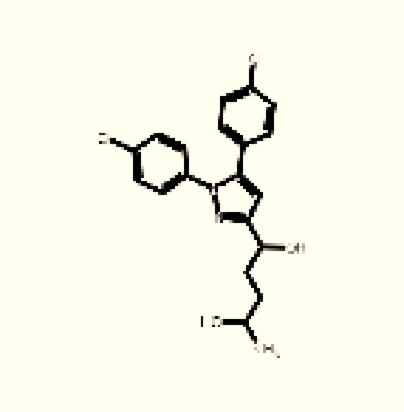 CC(O)CCC(O)c1cc(-c2ccc(Cl)cc2)n(-c2ccc(Cl)cc2)n1